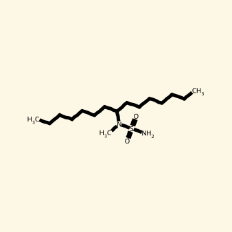 CCCCCCCC(CCCCCCC)N(C)S(N)(=O)=O